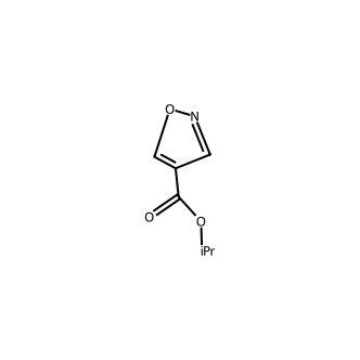 CC(C)OC(=O)c1cnoc1